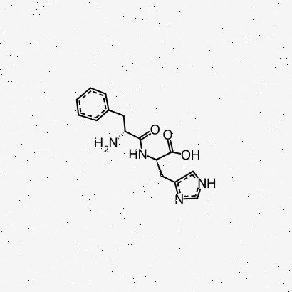 N[C@H](Cc1ccccc1)C(=O)N[C@H](Cc1c[nH]cn1)C(=O)O